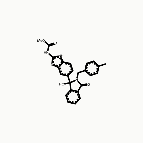 COC(=O)Nc1nc2cc(C3(O)c4ccccc4C(=O)N3Cc3ccc(C)cc3)ccc2[nH]1